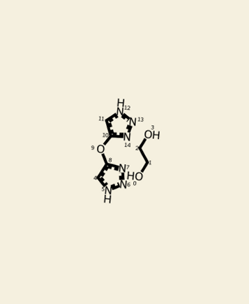 OCCO.c1[nH]nnc1Oc1c[nH]nn1